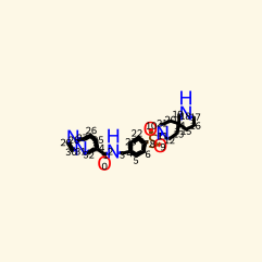 O=C(NCc1ccc(S(=O)(=O)N2CCC3(CCCNC3)CC2)cc1)c1ccc2nccn2c1